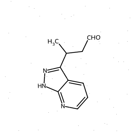 CC(CC=O)c1n[nH]c2ncccc12